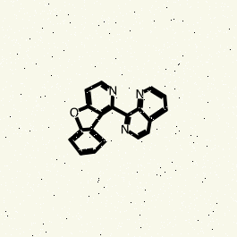 c1cnc2c(-c3nccc4oc5ccccc5c34)nccc2c1